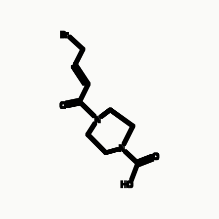 O=C(O)N1CCN(C(=O)C=CCBr)CC1